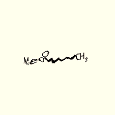 CC=CCCC=CC=CC(=O)OC